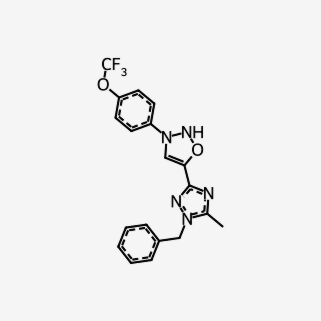 Cc1nc(C2=CN(c3ccc(OC(F)(F)F)cc3)NO2)nn1Cc1ccccc1